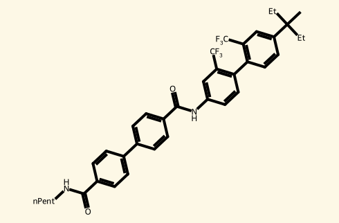 CCCCCNC(=O)c1ccc(-c2ccc(C(=O)Nc3ccc(-c4ccc(C(C)(CC)CC)cc4C(F)(F)F)c(C(F)(F)F)c3)cc2)cc1